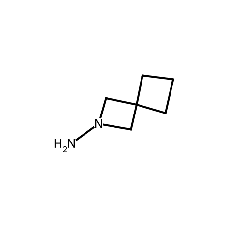 NN1CC2(CCC2)C1